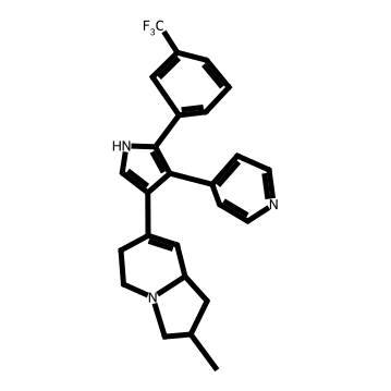 CC1CC2C=C(c3c[nH]c(-c4cccc(C(F)(F)F)c4)c3-c3ccncc3)CCN2C1